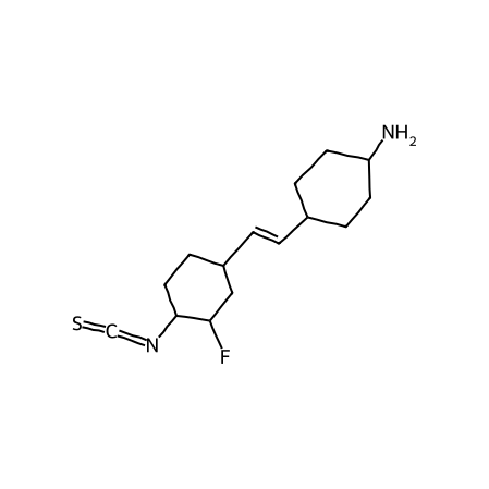 NC1CCC(C=CC2CCC(N=C=S)C(F)C2)CC1